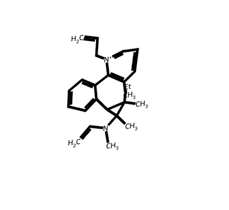 C=CC[n+]1cccc(C)c1-c1ccccc1C1C(C)(CC)C1(C)N(C)C=C